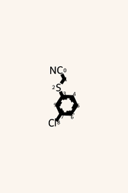 N#CCSc1cc[c]c(Cl)c1